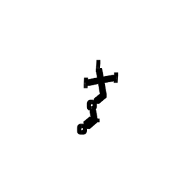 O=[C]OCC(I)(I)I